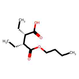 CCCCOC(=O)[C@H](CC)[C@H](CC)C(=O)O